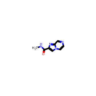 CNC(=O)c1cn2ccncc2n1